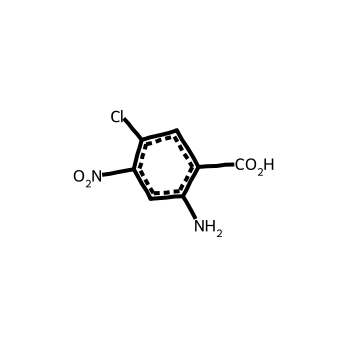 Nc1cc([N+](=O)[O-])c(Cl)cc1C(=O)O